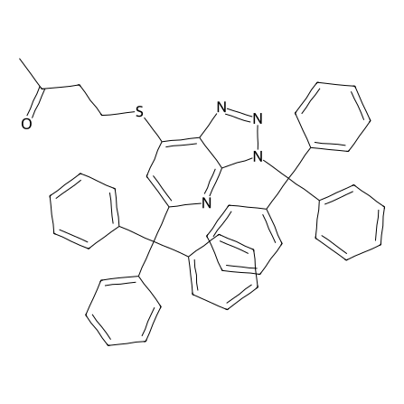 CC(=O)CCSc1cc(C(c2ccccc2)(c2ccccc2)c2ccccc2)nc2c1nnn2C(c1ccccc1)(c1ccccc1)c1ccccc1